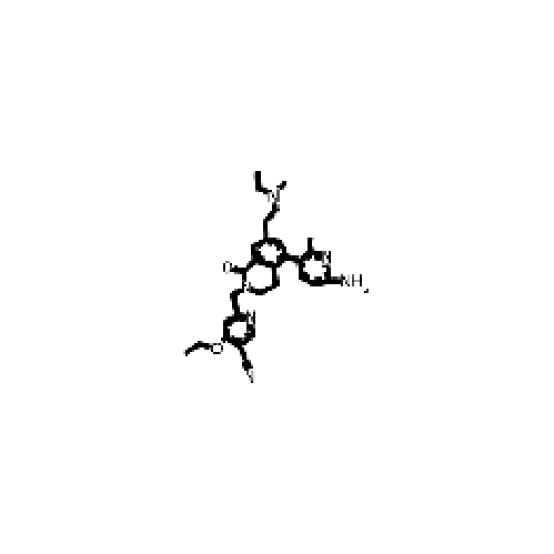 CCOc1cc(CN2CCc3c(cc(CCN(C)CC)cc3-c3ccc(N)nc3C)C2=O)ncc1C#N